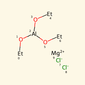 CC[O][Al]([O]CC)[O]CC.[Cl-].[Cl-].[Mg+2]